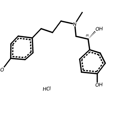 CN(CCCc1ccc(O)cc1)C[C@H](O)c1ccc(O)cc1.Cl